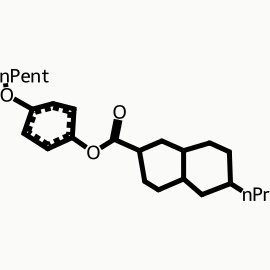 CCCCCOc1ccc(OC(=O)C2CCC3CC(CCC)CCC3C2)cc1